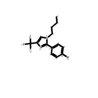 CCCCn1cc(C(F)(F)F)nc1-c1ccc(Br)cc1